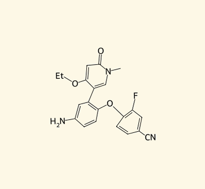 CCOc1cc(=O)n(C)cc1-c1cc(N)ccc1Oc1ccc(C#N)cc1F